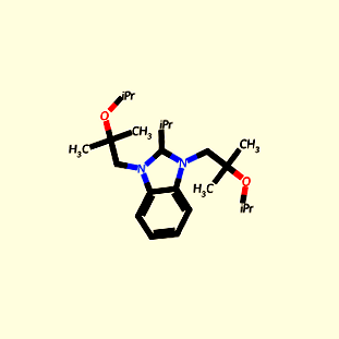 CC(C)OC(C)(C)CN1c2ccccc2N(CC(C)(C)OC(C)C)C1C(C)C